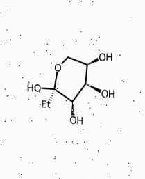 CC[C@]1(O)OC[C@@H](O)[C@@H](O)[C@H]1O